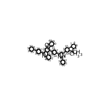 CC1(C)c2ccccc2-c2ccc(-c3cc(-c4ccc(-c5c6c(cc7c(-c8ccc(-c9ccccc9)cc8)nc8ccccc8c57)oc5ccccc56)cc4)nc(-c4ccccc4)n3)cc21